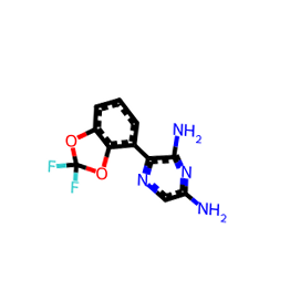 Nc1cnc(-c2cccc3c2OC(F)(F)O3)c(N)n1